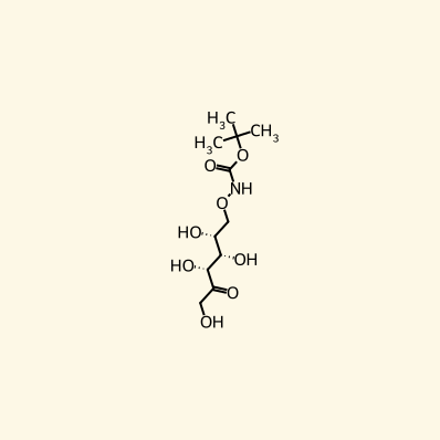 CC(C)(C)OC(=O)NOC[C@@H](O)[C@H](O)[C@@H](O)C(=O)CO